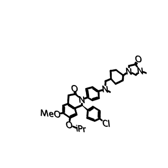 COc1cc2c(cc1OC(C)C)[C@H](c1ccc(Cl)cc1)N(c1ccc(N(C)CC3CCC(N4CC(=O)N(C)C4)CC3)cc1)C(=O)C2